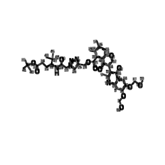 COCOc1cc2nc(C)c(-c3coc4cc(C)c(C)c(C(=O)OCc5cn(CC(=O)N[C@@H](CCC(=O)OC(C)(C)C)C(C)(C)C)nn5)c4c3=O)c(=O)n2cc1OCOC